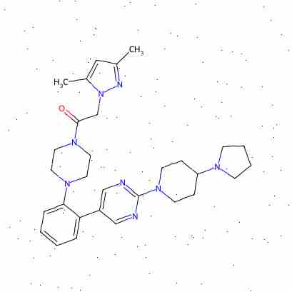 Cc1cc(C)n(CC(=O)N2CCN(c3ccccc3-c3cnc(N4CCC(N5CCCC5)CC4)nc3)CC2)n1